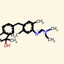 CCN(C)/C=N/c1cc(C)c(Cc2ccc3c(c2)C(C)(O)CC3)cc1C